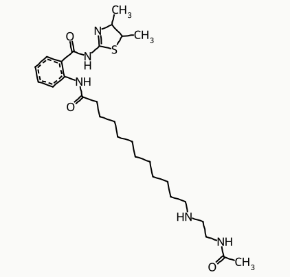 CC(=O)NCCNCCCCCCCCCCCC(=O)Nc1ccccc1C(=O)NC1=NC(C)C(C)S1